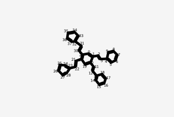 [c]1c(C=Cc2ccccc2)c(C=Cc2ccccc2)cc(C=Cc2ccccc2)c1C=Cc1ccccc1